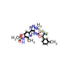 Cc1cccc([C@H](OC(=O)Nc2c(-c3ccc(NS(C)(=O)=O)c(C)n3)nnn2C)C(F)F)c1